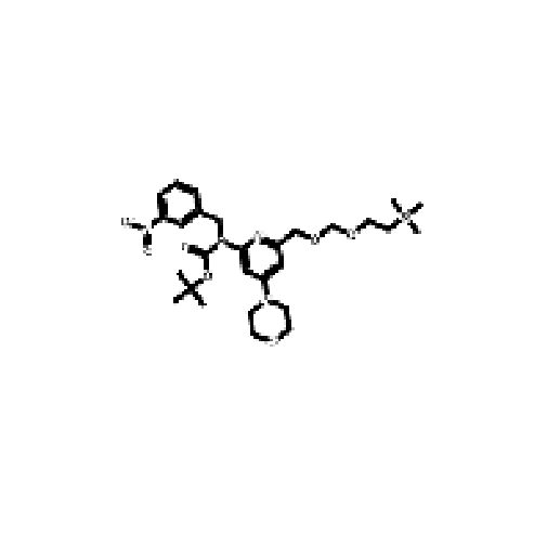 CC(C)(C)OC(=O)N(Cc1cccc([N+](=O)[O-])c1)c1cc(N2CCOCC2)cc(COCOCC[Si](C)(C)C)n1